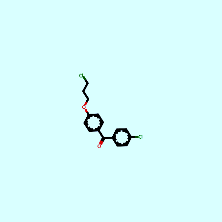 O=C(c1ccc(Cl)cc1)c1ccc(OCCCCl)cc1